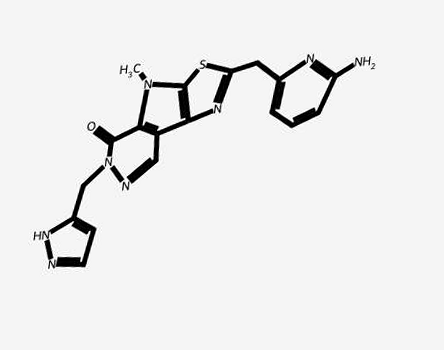 Cn1c2sc(Cc3cccc(N)n3)nc2c2cnn(Cc3ccn[nH]3)c(=O)c21